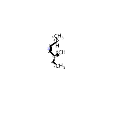 C#P(/C=C\PC)CC